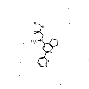 CN(CC(=O)NC(C)(C)C)c1nc(-c2cccnn2)nc2c1CCC2